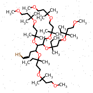 CCC(C)(CCOC)OCCC(C)(CC)OC(COC(C)(C)CCOC(C)(C)CCOC)C(OC(C)(C)CCOC(C)(C)CCOC)C(C/C=C\S)OC(C)(CC)CCOC(C)(C)CCOC